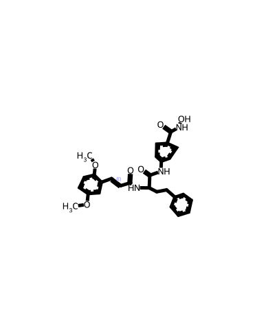 COc1ccc(OC)c(/C=C/C(=O)NC(CCc2ccccc2)C(=O)Nc2ccc(C(=O)NO)cc2)c1